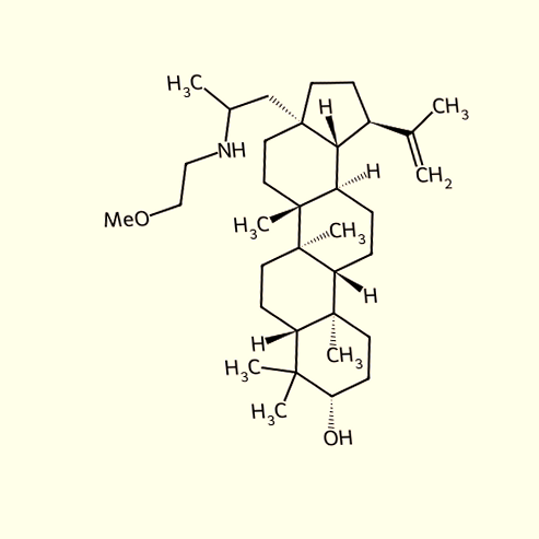 C=C(C)[C@@H]1CC[C@]2(CC(C)NCCOC)CC[C@]3(C)[C@H](CC[C@@H]4[C@@]5(C)CC[C@H](O)C(C)(C)[C@@H]5CC[C@]43C)[C@@H]12